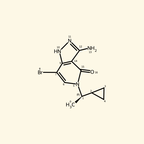 C[C@H](C1CC1)n1cc(Br)c2[nH]nc(N)c2c1=O